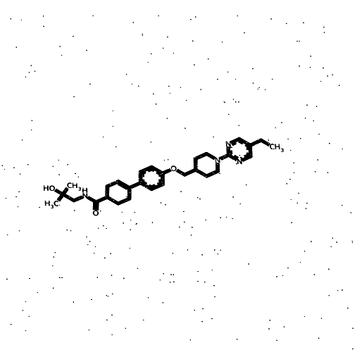 CCc1cnc(N2CCC(COc3ccc(C4=CCC(C(=O)NCC(C)(C)O)CC4)cc3)CC2)nc1